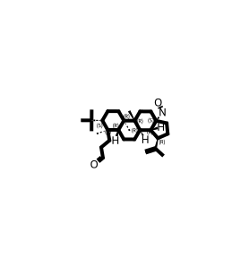 C=C(C)[C@@H]1CC[C@]2(N=O)CC[C@]3(C)[C@H](CC[C@@H]4[C@@](C)(CCC=O)[C@H](C(C)(C)C)CC[C@]43C)[C@@H]12